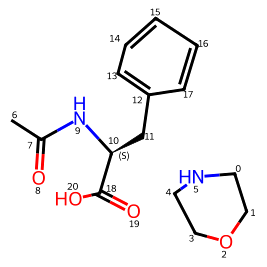 C1COCCN1.CC(=O)N[C@@H](Cc1ccccc1)C(=O)O